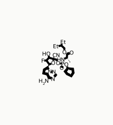 CCC(CC)COC(=O)[C@H](C)NP(=O)(OC[C@@]1(C#N)O[C@@H](c2ccc3c(N)ncnn23)C(F)C1O)Oc1ccccc1